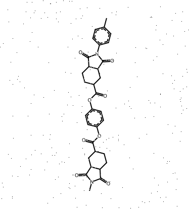 Cc1ccc(N2C(=O)C3CCC(C(=O)Oc4ccc(OC(=O)C5CCC6C(=O)N(C)C(=O)C6C5)cc4)CC3C2=O)cc1